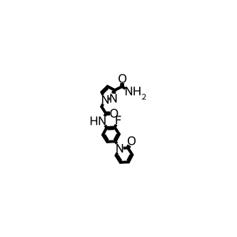 NC(=O)c1ccn(CC(=O)Nc2ccc(-n3ccccc3=O)cc2F)n1